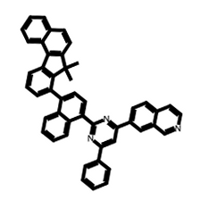 CC1(C)c2ccc3ccccc3c2-c2cccc(-c3ccc(-c4nc(-c5ccccc5)cc(-c5ccc6ccncc6c5)n4)c4ccccc34)c21